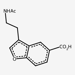 CC(=O)NCCc1coc2ccc(C(=O)O)cc12